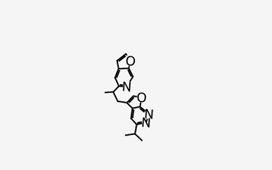 CC(C)c1cc2c(CC(C)c3cc4ccoc4cn3)coc2nn1